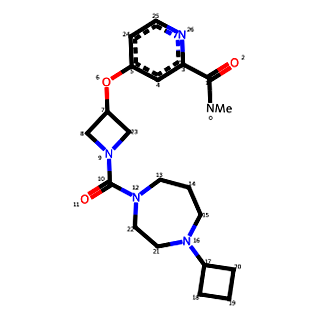 CNC(=O)c1cc(OC2CN(C(=O)N3CCCN(C4CCC4)CC3)C2)ccn1